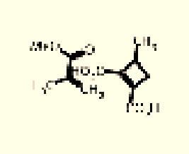 C=C(C)C(=O)OC.CC1CC(C(=O)O)=C1C(=O)O